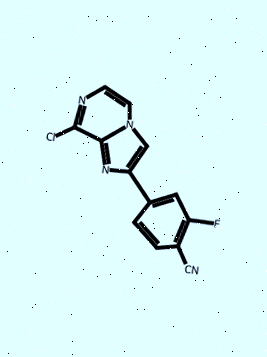 N#Cc1ccc(-c2cn3ccnc(Cl)c3n2)cc1F